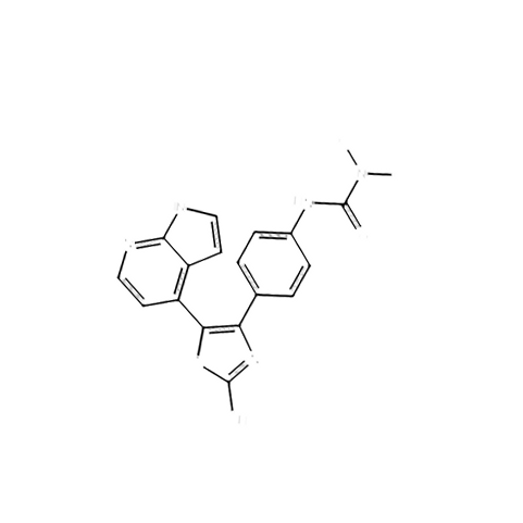 Cc1nc(-c2ccc(NC(=O)N(C)C)cc2)c(-c2ccnc3[nH]ccc23)o1